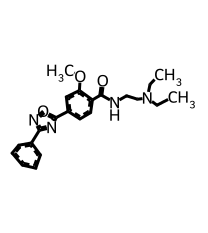 CCN(CC)CCNC(=O)c1ccc(-c2nc(-c3ccccc3)no2)cc1OC